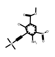 COC(=O)c1cc([N+](=O)[O-])c(N)c(C#C[Si](C)(C)C)c1Cl